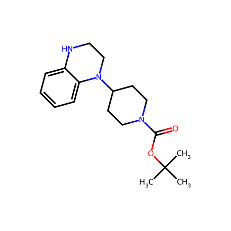 CC(C)(C)OC(=O)N1CCC(N2CCNc3ccccc32)CC1